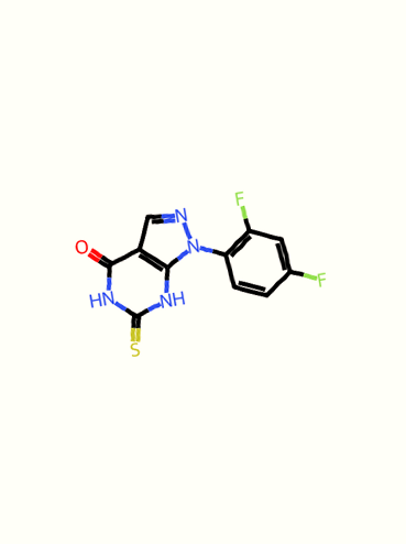 O=c1[nH]c(=S)[nH]c2c1cnn2-c1ccc(F)cc1F